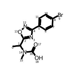 CC(c1nc(-c2ccc(Br)cc2)no1)N(C)C(=O)O